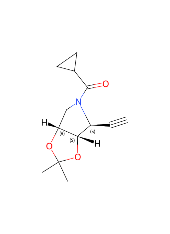 C#C[C@H]1[C@@H]2OC(C)(C)O[C@@H]2CN1C(=O)C1CC1